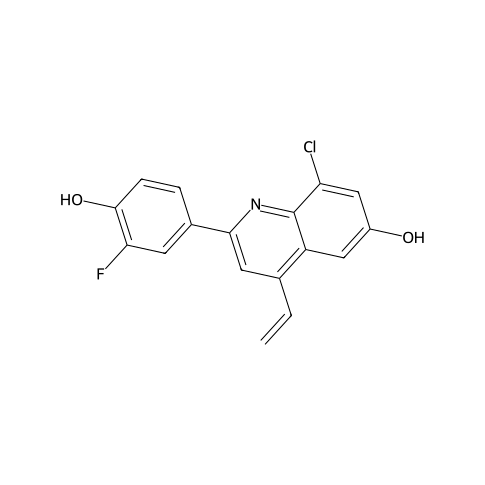 C=Cc1cc(-c2ccc(O)c(F)c2)nc2c(Cl)cc(O)cc12